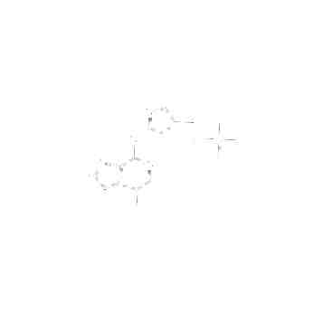 CC(C)(C)[Si](C)(C)OCc1cnc(Nc2ncc(Br)n3ccnc23)s1